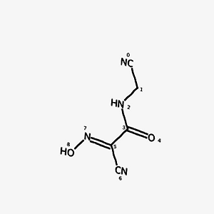 N#CCNC(=O)C(C#N)=NO